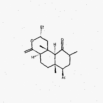 C=C1O[C@H](CC)C[C@]2(C)[C@H]3C(=O)C(C)C[C@@H](C(C)=O)[C@]3(C)CC[C@@H]12